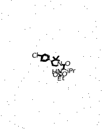 CCS(=O)(=O)N[C@@H](C(=O)N1CC[C@H](c2ccc(Cl)cc2)C(C)(C)C1)C(C)C